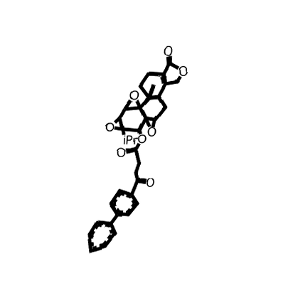 CC(C)C12OC1C1OC13C1(C)CCC4=C(COC4=O)C1CC1OC13C2OC(=O)CCC(=O)c1ccc(-c2ccccc2)cc1